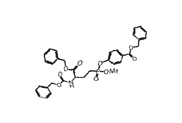 COP(=O)(CCC(NC(=O)OCc1ccccc1)C(=O)OCc1ccccc1)Oc1ccc(C(=O)OCc2ccccc2)cc1